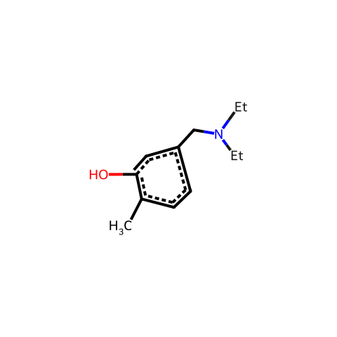 CCN(CC)Cc1ccc(C)c(O)c1